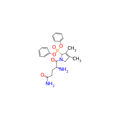 CC1=C(C)C(P(=O)(Oc2ccccc2)Oc2ccccc2)N(C(=O)[C@@H](N)CCC(N)=O)C1